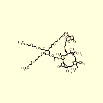 CCC1=C(C)/C2=C/c3[nH]c(c(C)c3CC)/C(C#CCCCC(=O)ON3C(=O)CCC3=O)=C3\N=C(C4=C5C/C(=C\C1=N2)C(C)=C5C(=O)C4)[C@@H](CCC(=O)OCc1cc(OCCOCCOCCOC)c(OCCOCCOCCOC)c(OCCOCCOCCOC)c1)[C@@H]3C